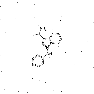 CC(N)c1cn(Nc2ccncc2)c2ccccc12